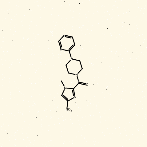 Cn1cc([N+](=O)[O-])nc1C(=O)N1CCN(c2ccccn2)CC1